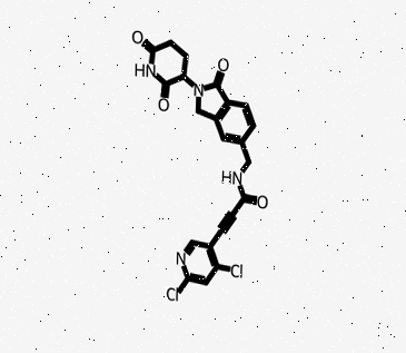 O=C(C#Cc1cnc(Cl)cc1Cl)NCc1ccc2c(c1)CN(C1CCC(=O)NC1=O)C2=O